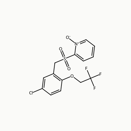 O=S(=O)(Cc1cc(Cl)ccc1OCC(F)(F)F)c1cccc[n+]1[O-]